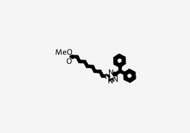 COC(=O)CCCCCCCCn1nnc(C(c2ccccc2)c2ccccc2)n1